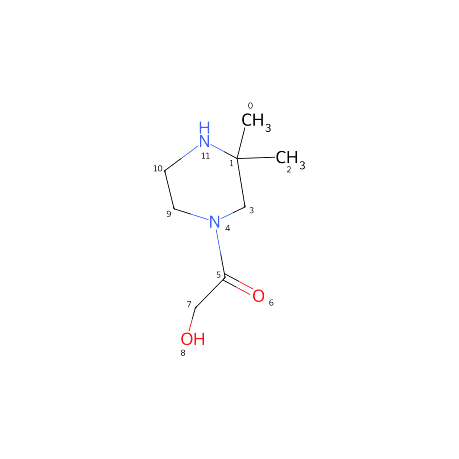 CC1(C)CN(C(=O)CO)CCN1